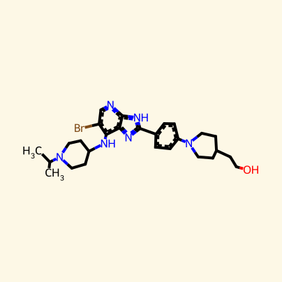 CC(C)N1CCC(Nc2c(Br)cnc3[nH]c(-c4ccc(N5CCC(CCO)CC5)cc4)nc23)CC1